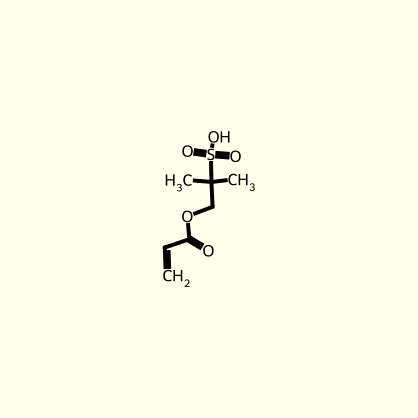 C=CC(=O)OCC(C)(C)S(=O)(=O)O